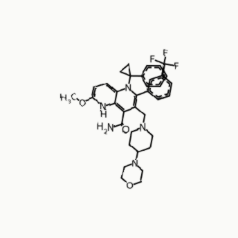 COC1=CC=C2C(=C(C(N)=O)C(CN3CCC(N4CCOCC4)CC3)=C(c3cccc(C(F)(F)F)c3)N2C2(c3ccccc3)CC2)N1